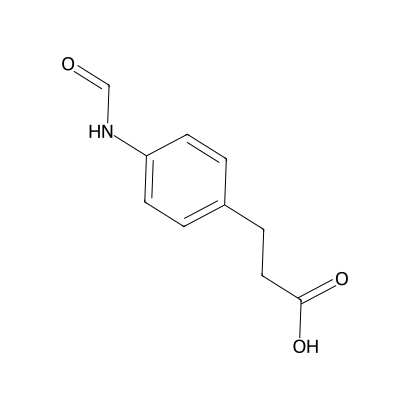 O=CNc1ccc(CCC(=O)O)cc1